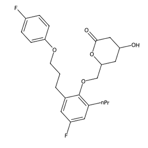 CCCc1cc(F)cc(CCCOc2ccc(F)cc2)c1OCC1CC(O)CC(=O)O1